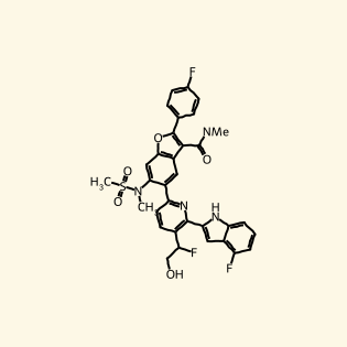 CNC(=O)c1c(-c2ccc(F)cc2)oc2cc(N(C)S(C)(=O)=O)c(-c3ccc(C(F)CO)c(-c4cc5c(F)cccc5[nH]4)n3)cc12